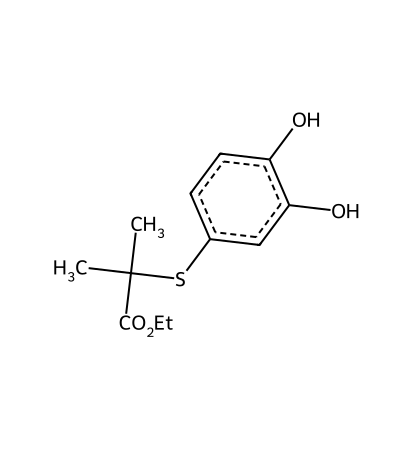 CCOC(=O)C(C)(C)Sc1ccc(O)c(O)c1